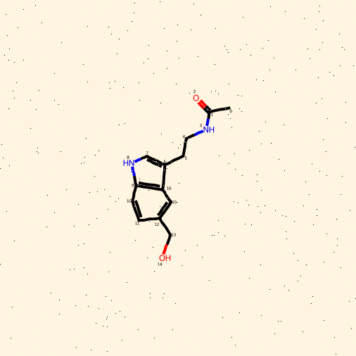 CC(=O)NCCc1c[nH]c2ccc(CO)cc12